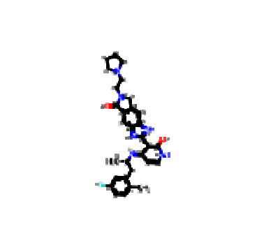 Cc1ccc(F)cc1C[C@H](C)/N=C1\C=CNC(=O)C1c1nc2cc3c(cc2[nH]1)CN(CCN1CCCC1)C3=O